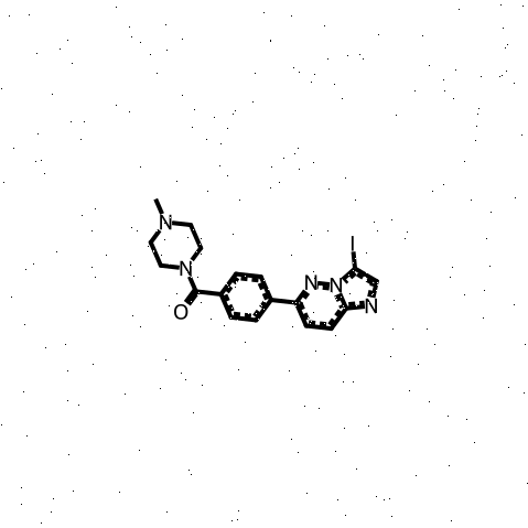 CN1CCN(C(=O)c2ccc(-c3ccc4ncc(I)n4n3)cc2)CC1